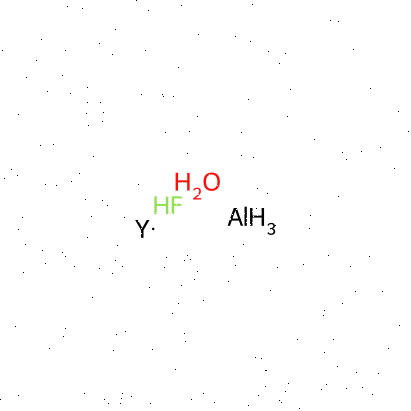 F.O.[AlH3].[Y]